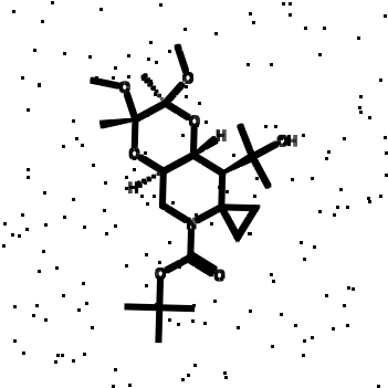 CO[C@@]1(C)O[C@H]2[C@@H](CN(C(=O)OC(C)(C)C)C3(CC3)[C@@H]2C(C)(C)O)O[C@]1(C)OC